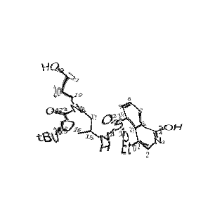 CCc1cnc(O)c2cccc(S(=O)(=O)NC(C)CN(CCCO)C(=O)OC(C)(C)C)c12